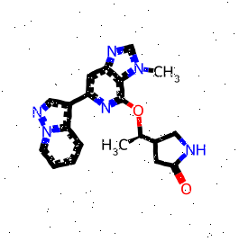 C[C@@H](Oc1nc(-c2cnn3ccccc23)cc2ncn(C)c12)C1CNC(=O)C1